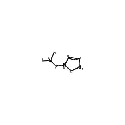 CN(C)CN1[CH]OC=C1